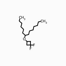 CCCCCCCC(CCCCCC)OC1CC(F)(F)C1